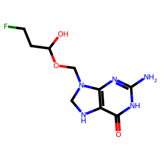 Nc1nc2c(c(=O)[nH]1)NCN2COC(O)CCF